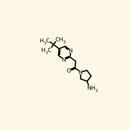 CC(C)(C)c1cnc(CC(=O)N2CCC(N)C2)nc1